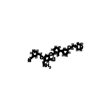 Cc1c(COc2cc(OCc3cncc(C#N)c3)c(CN)cc2Cl)cccc1-c1cccc(OCCN2CCOCC2)c1